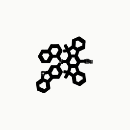 CC(C)(C)c1c2c(c(N(c3ccc4c(c3)oc3ccccc34)c3cccc4ccccc34)c3c1-c1ccccc1C3(C)C)C(C)(C)c1ccccc1-2